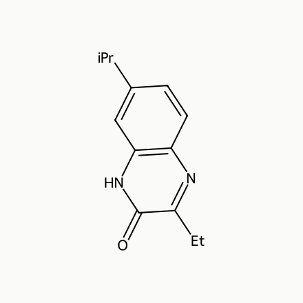 CCc1nc2ccc(C(C)C)cc2[nH]c1=O